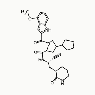 COc1cccc2[nH]c(C(=O)N3CC(C4CCCC4)CC3C(=O)N[C@H](C#N)CC3CCCNC3=O)cc12